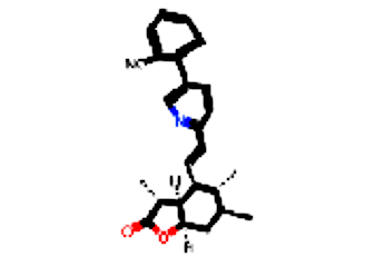 C[C@H]1[C@H](/C=C/c2ccc(-c3ccccc3C#N)cn2)[C@H]2[C@@H](C[C@@H]1C)OC(=O)[C@@H]2C